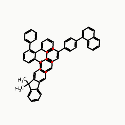 CC1(C)c2ccccc2-c2ccc(N(c3ccc(-c4ccc(-c5cccc6ccccc56)cc4)cc3)c3cccc(-c4ccccc4)c3-c3ccccc3-c3ccccc3)cc21